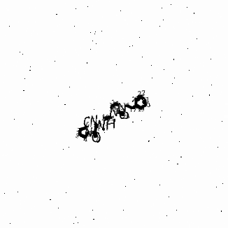 N#C[C@@H]1CCCN1C(=O)CNCCN1CCN(CCc2ccccc2)C1=O